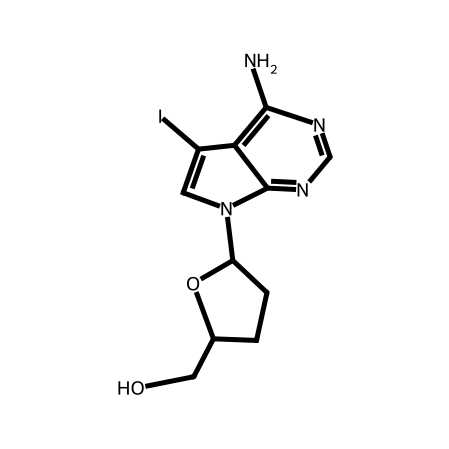 Nc1ncnc2c1c(I)cn2C1CCC(CO)O1